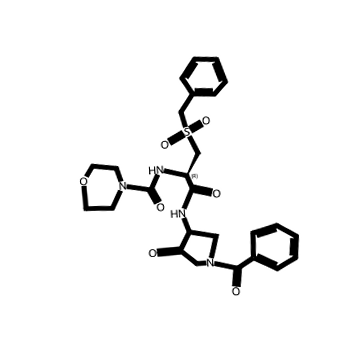 O=C1CN(C(=O)c2ccccc2)CC1NC(=O)[C@H](CS(=O)(=O)Cc1ccccc1)NC(=O)N1CCOCC1